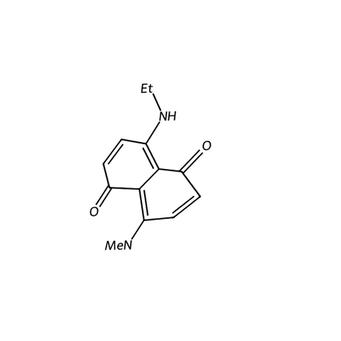 CCNC1=C2C(=O)C=CC(NC)=C2C(=O)C=C1